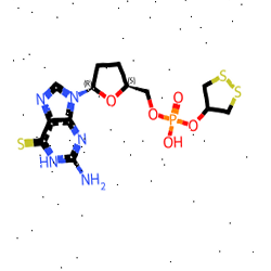 Nc1nc2c(ncn2[C@H]2CC[C@@H](COP(=O)(O)OC3CSSC3)O2)c(=S)[nH]1